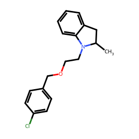 CC1Cc2ccccc2N1CCOCc1ccc(Cl)cc1